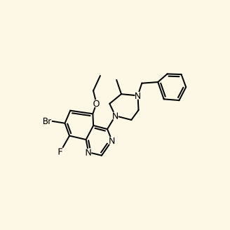 CCOc1cc(Br)c(F)c2ncnc(N3CCN(Cc4ccccc4)C(C)C3)c12